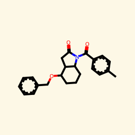 Cc1ccc(C(=O)N2C(=O)CC3C(OCc4ccccc4)CCCC32)cc1